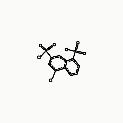 O=S(=O)(Cl)c1cc(Cl)c2cccc(S(=O)(=O)Cl)c2c1